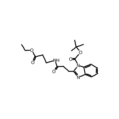 CCOC(=O)CCNC(=O)CCc1nc2ccccc2n1C(=O)OC(C)(C)C